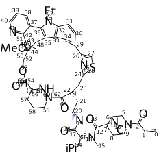 C=CC(=O)N1CC2CCC1CN2C(=O)N(C)[C@H](C(=O)/N=C/C[C@H]1Cc2nc(cs2)-c2ccc3c(c2)c(c(-c2cccnc2[C@H](C)OC)n3CC)CC(C)(C)COC(=O)[C@@H]2CCCN(N2)C1=O)C(C)C